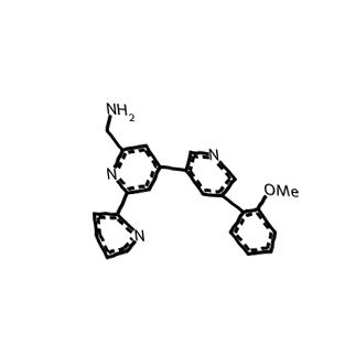 COc1ccccc1-c1cncc(-c2cc(CN)nc(-c3ccccn3)c2)c1